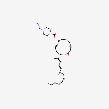 CC[C@H](O)[C@@H](C)[C@H]1O[C@@H]1C[C@@](C)(O)/C=C/C=C(\C)[C@H]1OC(=O)C[C@H](O)CC[C@H](C)[C@@H](OC(=O)N2CCN(CCN)CC2)/C=C/[C@@H]1C